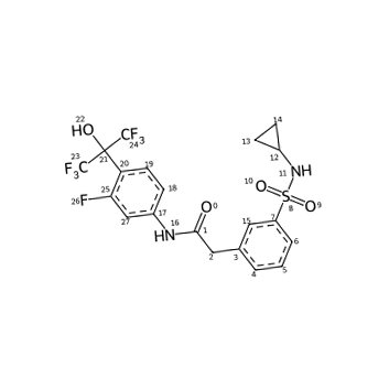 O=C(Cc1cccc(S(=O)(=O)NC2CC2)c1)Nc1ccc(C(O)(C(F)(F)F)C(F)(F)F)c(F)c1